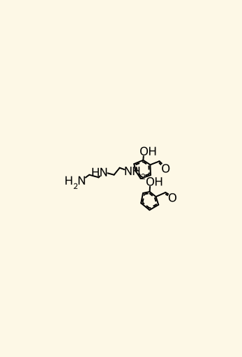 NCCNCCN.O=Cc1ccccc1O.O=Cc1ccccc1O